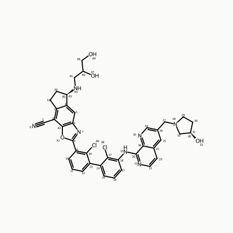 N#Cc1c2c(cc3nc(-c4cccc(-c5cccc(Nc6nccc7cc(CN8CC[C@@H](O)C8)cnc67)c5Cl)c4Cl)oc13)[C@H](NCC(O)CO)CC2